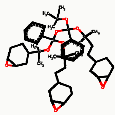 C[Si](C)(C)O[Si](O[Si](C)(C)CCC1CCC2OC2C1)(O[Si](O[Si](C)(C)CCC1CCC2OC2C1)(O[Si](C)(C)C1CCC2OC2C1)c1ccccc1)c1ccccc1